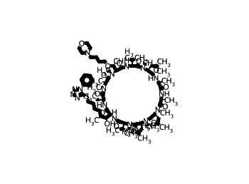 CC[C@@H]1NC(=O)[C@H]([C@H](O)[C@H](C)CCCCSc2nnnn2-c2ccccc2)NC(=O)[C@H](C(C)C)N(C)C(=O)[C@H](CC(C)C)N(C)C(=O)[C@H](CC(C)C)N(C)C(=O)[C@@H](C)NC(=O)[C@H](C)NC(=O)[C@H](CC(C)C)N(C)C(=O)[C@H](C(C)C)NC(=O)[C@H]([C@@H](C)OCCCCN2CCOCC2)N(C)C(=O)[C@@H](C)N(C)C1=O